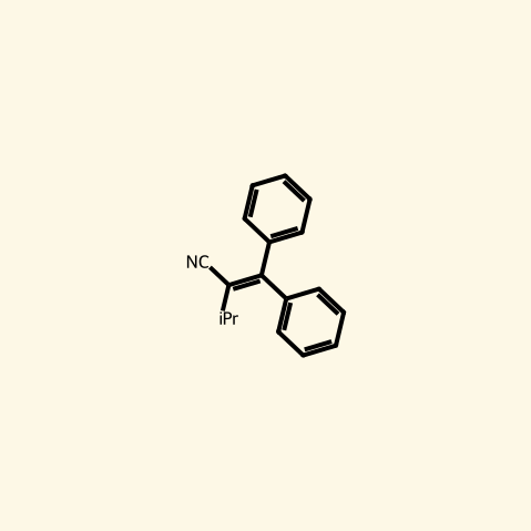 CC(C)C(C#N)=C(c1ccccc1)c1ccccc1